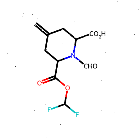 C=C1CC(C(=O)O)N(C=O)C(C(=O)OC(F)F)C1